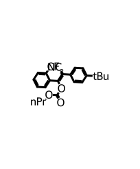 CCCOC(=O)OC(=C(C#N)c1ccc(C(C)(C)C)cc1)c1ccccc1C(F)(F)F